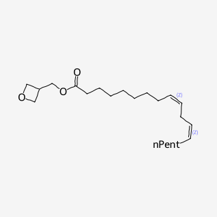 CCCCC/C=C\C/C=C\CCCCCCCC(=O)OCC1COC1